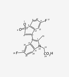 Cc1c(C2=CS(=O)(=O)c3ccc(F)cc32)c2cc(F)ccc2n1CC(=O)O